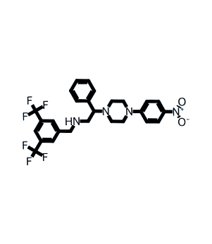 O=[N+]([O-])c1ccc(N2CCN(C(CNCc3cc(C(F)(F)F)cc(C(F)(F)F)c3)c3ccccc3)CC2)cc1